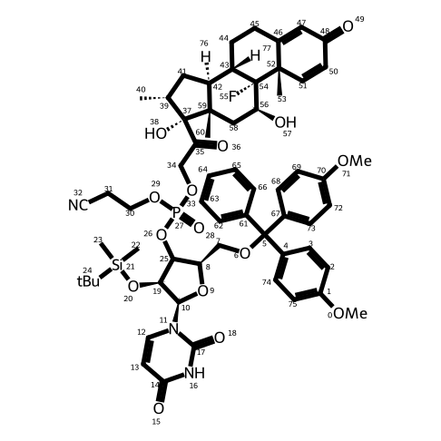 COc1ccc(C(OC[C@H]2O[C@@H](n3ccc(=O)[nH]c3=O)[C@@H](O[Si](C)(C)C(C)(C)C)C2OP(=O)(OCCC#N)OCC(=O)[C@@]2(O)[C@H](C)C[C@H]3[C@@H]4CCC5=CC(=O)C=C[C@]5(C)[C@@]4(F)[C@@H](O)C[C@@]32C)(c2ccccc2)c2ccc(OC)cc2)cc1